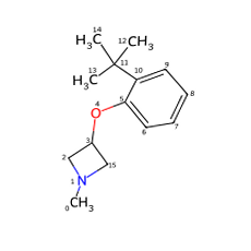 CN1CC(Oc2ccccc2C(C)(C)C)C1